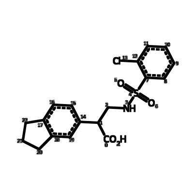 O=C(O)C(CNS(=O)(=O)c1ccccc1Cl)c1ccc2c(c1)CCC2